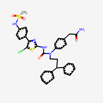 CS(=O)(=O)Nc1ccc(-c2nc(NC(=O)N(CCC(c3ccccc3)c3ccccc3)c3ccc(CC(N)=O)cc3)sc2Cl)cc1